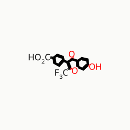 O=C(O)c1ccc(-c2c(C(F)(F)F)oc3cc(O)ccc3c2=O)cc1